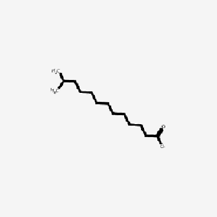 CC(C)CCCCCCCCCCC([O])=O